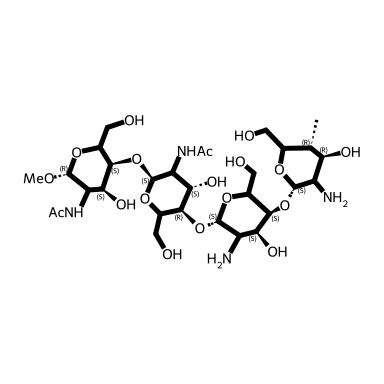 CO[C@@H]1OC(CO)[C@@H](O[C@@H]2OC(CO)[C@H](O[C@@H]3OC(CO)[C@@H](O[C@@H]4OC(CO)[C@H](C)[C@@H](O)C4N)[C@@H](O)C3N)[C@@H](O)C2NC(C)=O)[C@@H](O)C1NC(C)=O